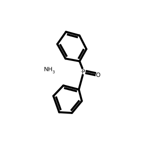 N.O=[P](c1ccccc1)c1ccccc1